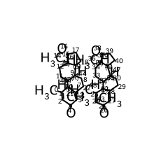 CC1=CC(=O)C=C2CC[C@@H]3[C@H](CC[C@]4(C)C(=O)CC[C@@H]34)[C@@]12C.CC1=CC(=O)C=C2CC[C@@H]3[C@H](CC[C@]4(C)C(=O)CC[C@@H]34)[C@@]12C